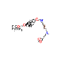 CN(CCCCC1COC(C)(C)OC1)CCCSSCCCN(C)CCOc1ccc2c(c1)CC[C@@H]1[C@@H]2CC[C@]2(C)[C@@H](OCCCOC(C(F)(F)F)(C(F)(F)F)C(F)(F)F)CC[C@@H]12